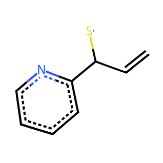 C=CC([S])c1ccccn1